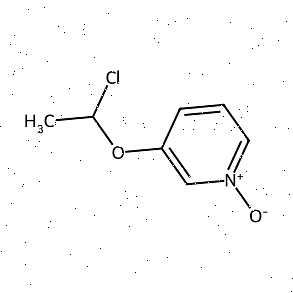 CC(Cl)Oc1ccc[n+]([O-])c1